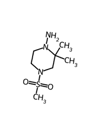 CC1(C)CN(S(C)(=O)=O)CCN1N